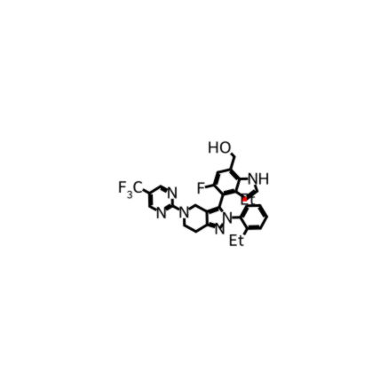 CCc1cccc(CC)c1-n1nc2c(c1-c1c(F)cc(CO)c3[nH]ccc13)CN(c1ncc(C(F)(F)F)cn1)CC2